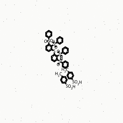 Cc1ccc(S(=O)(=O)O)cc1.Cc1ccc(S(=O)(=O)O)cc1.O=S(=O)(c1ccccc1)c1cccc(Sc2cccc(S(=O)(=O)c3ccccc3)c2S(=O)(=O)c2ccccc2)c1S(=O)(=O)c1ccccc1